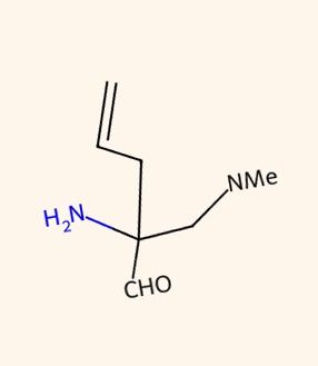 C=CCC(N)(C=O)CNC